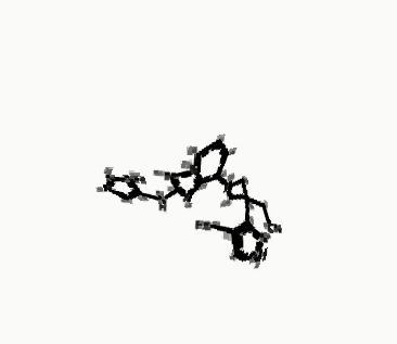 CCc1c[nH]nc1C1(CC#N)CN(c2cccn3nc(Nc4cnn[nH]4)nc23)C1